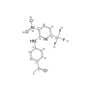 CC(=O)c1ccc(Nc2nc(C(F)(F)F)ccc2[N+](=O)[O-])cc1